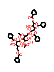 CC(=O)OC(CCOC(O)C(OC(=O)c1ccccc1)C(OC(=O)c1ccccc1)C(O)CCOC(=O)c1ccccc1)C(OC(O)C(OC(=O)c1ccccc1)C(O)C(O)CCOC(=O)c1ccccc1)C(OC(C)=O)C(O)O